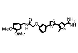 COc1ccc(CNC(=O)COc2cccc(-c3csc(-c4cc(C(=N)N)sc4C)n3)c2)cc1OC